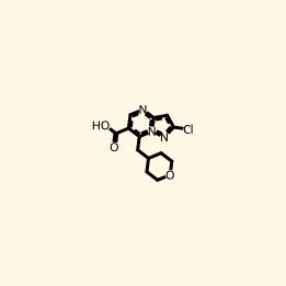 O=C(O)c1cnc2cc(Cl)nn2c1CC1CCOCC1